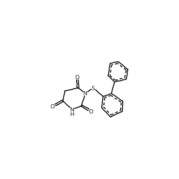 O=C1CC(=O)N(Sc2ccccc2-c2ccccc2)C(=O)N1